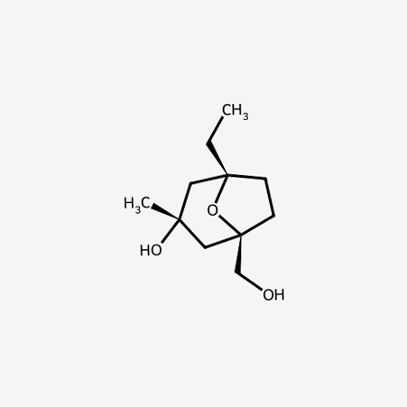 CC[C@]12CC[C@](CO)(C[C@](C)(O)C1)O2